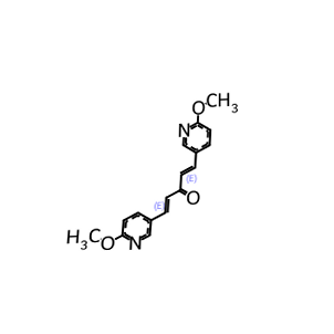 COc1ccc(/C=C/C(=O)/C=C/c2ccc(OC)nc2)cn1